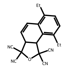 CCc1ccc(CC)c2c1C=CC1C2C(C#N)(C#N)OC1(C#N)C#N